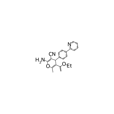 C=C(OCC)C1=C(C)OC(N)=C(C#N)C1c1ccc(-c2ccccn2)cc1